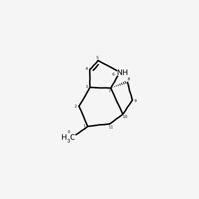 CC1CC2C=CN[C@]23CCC3C1